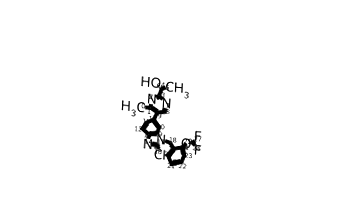 Cc1nc(C(C)O)ncc1-c1ccc2nc(C)n(Cc3ccccc3OC(F)F)c2c1